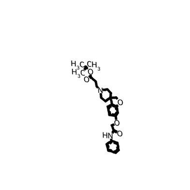 CC(C)(C)OC(=O)CCN1CCC2(CC1)COc1cc(OCC(=O)Nc3ccccc3)ccc12